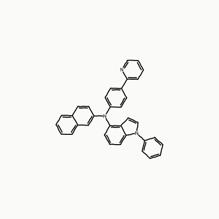 c1ccc(-n2ccc3c(N(c4ccc(-c5ccccn5)cc4)c4ccc5ccccc5c4)cccc32)cc1